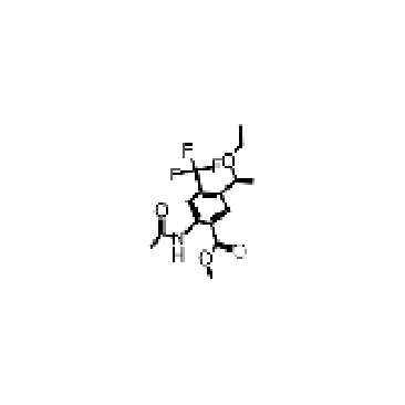 C=C(OCC)c1cc(C(=O)OC)c(NC(C)=O)cc1C(F)(F)F